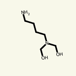 NCCCCN(CO)CO